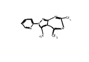 Nc1c2c(C(F)(F)F)nc(C(F)(F)F)nc2nn1-c1ccccn1